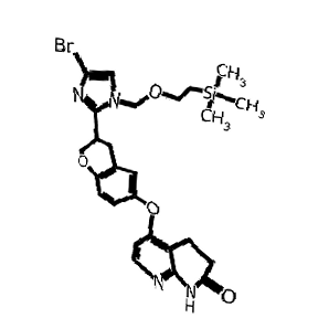 C[Si](C)(C)CCOCn1cc(Br)nc1C1COc2ccc(Oc3ccnc4c3CCC(=O)N4)cc2C1